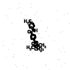 CN1CCN(NC(=O)c2ccc(B3OC(C)(C)C(C)(C)O3)cc2)CC1